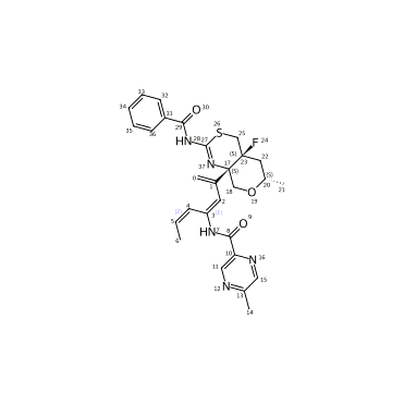 C=C(/C=C(\C=C/C)NC(=O)c1cnc(C)cn1)[C@]12CO[C@@H](C)C[C@@]1(F)CSC(NC(=O)c1ccccc1)=N2